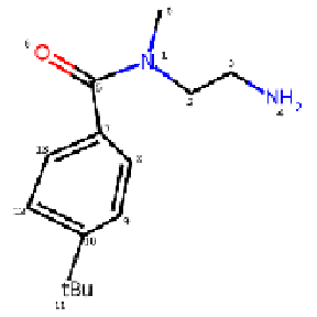 CN(CCN)C(=O)c1ccc(C(C)(C)C)cc1